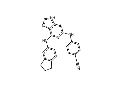 N#Cc1ccc(Nc2nc(Nc3ccc4c(c3)CCC4)c3nc[nH]c3n2)cc1